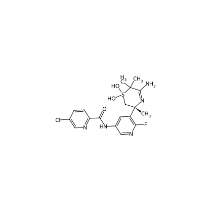 CC1(C)C(N)=N[C@](C)(c2cc(NC(=O)c3ccc(Cl)cn3)cnc2F)CS1(O)O